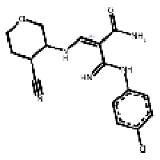 N#CC1CCOCC1N/C=C(\C(=N)Nc1ccc(Cl)cc1)C(N)=O